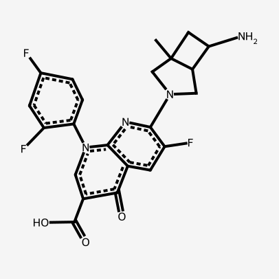 CC12CC(N)C1CN(c1nc3c(cc1F)c(=O)c(C(=O)O)cn3-c1ccc(F)cc1F)C2